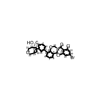 O=C(O)c1ccc(-c2cccc3c2OCN(C(=O)c2c(Cl)cc(Br)cc2Cl)C3)cc1N1C2CCC1COC2